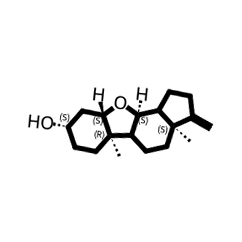 C=C1CCC2[C@@H]3O[C@H]4C[C@@H](O)CC[C@]4(C)C3CC[C@]12C